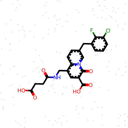 O=C(O)CCC(=O)NCc1cc(C(=O)O)c(=O)n2cc(Cc3cccc(Cl)c3F)ccc12